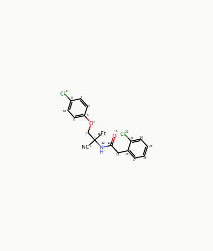 CCC(C#N)(COc1ccc(Cl)cc1)NC(=O)Cc1ccccc1Cl